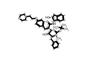 CN(C(=O)OC(C)(C)C)[C@@H](Cc1ccccc1)[C@@H](O)C[C@@H](Cc1ccc(OCCN2CCOCC2)cc1)C(=O)N[C@H]1c2ccccc2C[C@H]1O